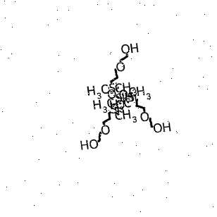 C[Si](C)(CCCOCCO)O[SiH](O[Si](C)(C)CCCOCCO)O[Si](C)(C)CCCOCCO